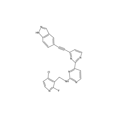 Fc1nccc(Cl)c1CNc1nccc(-c2nccc(C#Cc3ccc4[nH]ncc4c3)n2)n1